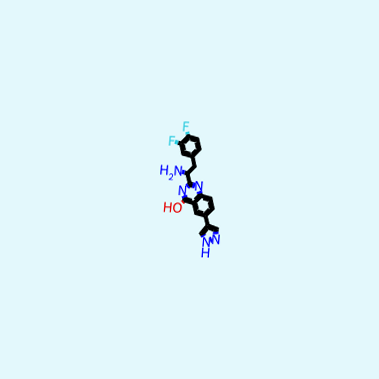 NC(Cc1ccc(F)c(F)c1)c1nc(O)c2cc(-c3cn[nH]c3)ccc2n1